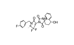 C[C@H](N(Cc1ccc(F)cc1)C(=O)CN1C(=O)NC2(CCC(O)c3ccccc32)C1=O)C(F)(F)F